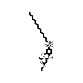 CCCCCCCCCCCCCCNS(=O)(=O)c1ccc(NC(=CC(=O)OCC)OCC)c(Cl)c1